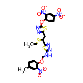 CCSC(Cc1nnc(Oc2ccc([N+](=O)[O-])cc2[N+](=O)[O-])s1)c1nnc(NCOc2ccc(C)cc2[N+](=O)[O-])s1